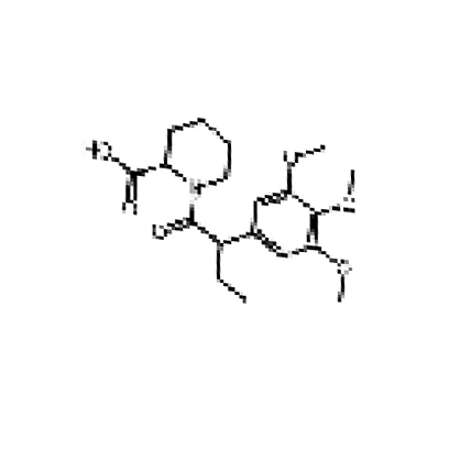 CCC(C(=O)N1CCCC[C@@H]1C(=O)O)c1cc(OC)c(OC)c(OC)c1